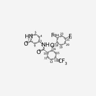 O=C(Nc1cc[nH]c(=O)c1)c1ccc(C(F)(F)F)cc1Oc1ccc(F)cc1F